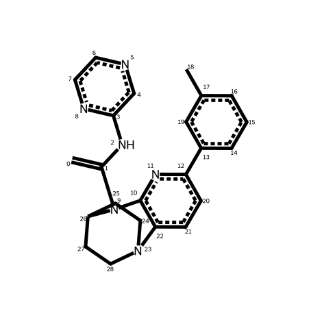 C=C(Nc1cnccn1)N1c2nc(-c3cccc(C)c3)ccc2N2CCC1CC2